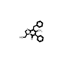 Cc1c(Cc2ccccc2)c2n(c(=O)c1-c1ccccc1)C(CO)CS2